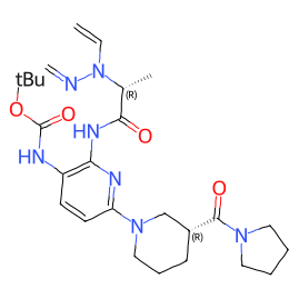 C=CN(N=C)[C@H](C)C(=O)Nc1nc(N2CCC[C@@H](C(=O)N3CCCC3)C2)ccc1NC(=O)OC(C)(C)C